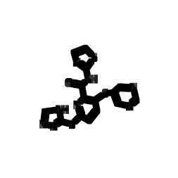 O=C(Nc1nccs1)c1nc(Sc2nnc[nH]2)ccc1Sc1cncnc1